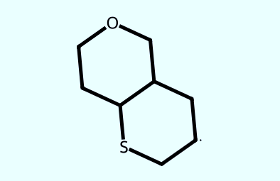 [CH]1CSC2CCOCC2C1